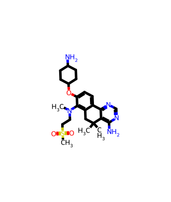 CN(CCS(C)(=O)=O)c1c(OC2CCC(N)CC2)ccc2c1CC(C)(C)c1c(N)ncnc1-2